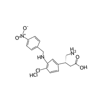 Cl.NC[C@H](CC(=O)O)c1ccc(Cl)c(NCc2ccc([N+](=O)[O-])cc2)c1